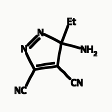 CCC1(N)N=NC(C#N)=C1C#N